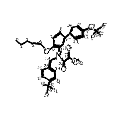 CCCCCOc1ccc(-c2ccc(OC(F)(F)F)cc2)cc1N(Cc1ccc(C(C)(C)C)cc1)C(=O)C(=O)OC